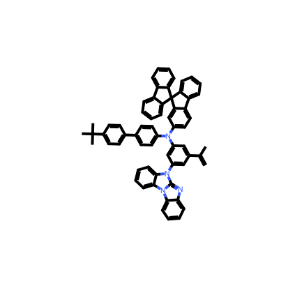 C=C(C)c1cc(N(c2ccc(-c3ccc(C(C)(C)C)cc3)cc2)c2ccc3c(c2)C2(c4ccccc4-c4ccccc42)c2ccccc2-3)cc(-n2c3ccccc3n3c4ccccc4nc23)c1